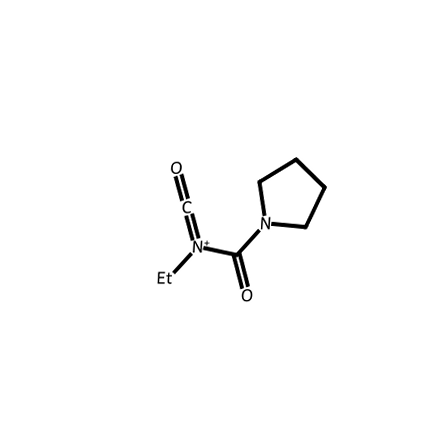 CC[N+](=C=O)C(=O)N1CCCC1